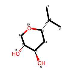 CC(C)[C@@H]1C[C@@H](O)[C@H](O)CO1